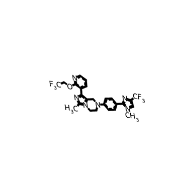 Cc1nc(-c2cccnc2OCC(F)(F)F)c2n1CCN(c1ccc(-c3nc(C(F)(F)F)cn3C)cc1)C2